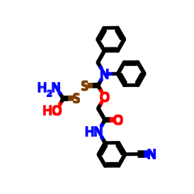 N#Cc1cccc(NC(=O)COC(=S)N(Cc2ccccc2)c2ccccc2)c1.NC(O)=S